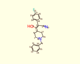 N#CC(=C(O)C1CCN(Cc2ccccc2)CC1)c1ccc(F)cc1